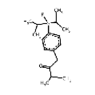 CC(C)C(=O)Cc1ccc([Si](F)(C(C)C)C(C)C)cc1